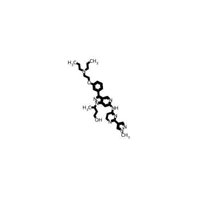 CCCN(CCC)CCOc1cccc(-c2nn(C(C)CCO)c3cc(NC4=NC(c5cnn(C)c5)=NCC4)ncc23)c1